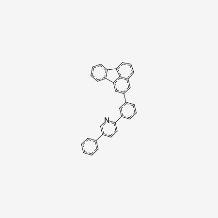 c1ccc(-c2ccc(-c3cccc(-c4cc5c6c(cccc6c4)-c4ccccc4-5)c3)nc2)cc1